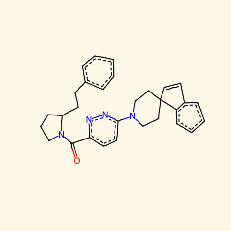 O=C(c1ccc(N2CCC3(C=Cc4ccccc43)CC2)nn1)N1CCCC1CCc1ccccc1